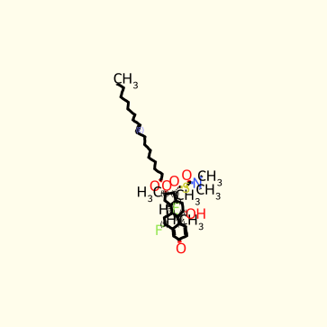 CCCCCCCC/C=C/CCCCCCCC(=O)O[C@]1(C)C[C@H]2[C@@H]3C[C@H](F)C4=CC(=O)C=C[C@]4(C)[C@@]3(F)[C@@H](O)C[C@]2(C)[C@H]1C(=O)SC(=O)N(C)C